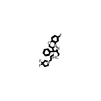 O=CCC1=NN2c3cc(F)ccc3OCC2[C@]1(CCCN1CCC(F)(F)C1)c1ccccc1